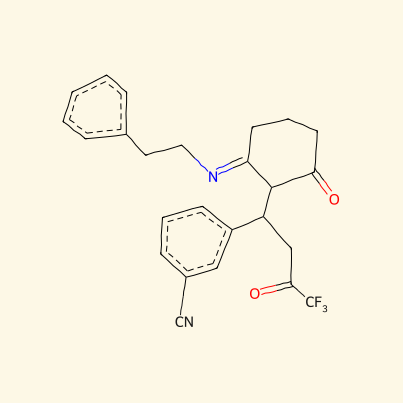 N#Cc1cccc(C(CC(=O)C(F)(F)F)C2C(=O)CCCC2=NCCc2ccccc2)c1